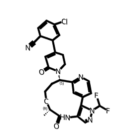 C[C@@H]1CCC[C@H](N2CCC(C3C=C(Cl)C=CC3C#N)=CC2=O)c2cc(ccn2)-c2c(cnn2C(F)F)NC1=O